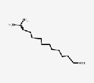 CCCCCCCCCCCCCCCCCCC=C(N)N